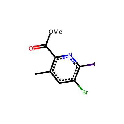 COC(=O)c1nc(I)c(Br)cc1C